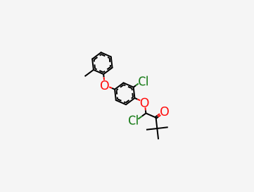 Cc1ccccc1Oc1ccc(OC(Cl)C(=O)C(C)(C)C)c(Cl)c1